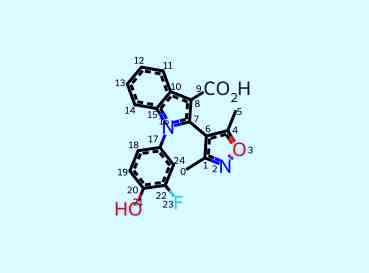 Cc1noc(C)c1-c1c(C(=O)O)c2ccccc2n1-c1ccc(O)c(F)c1